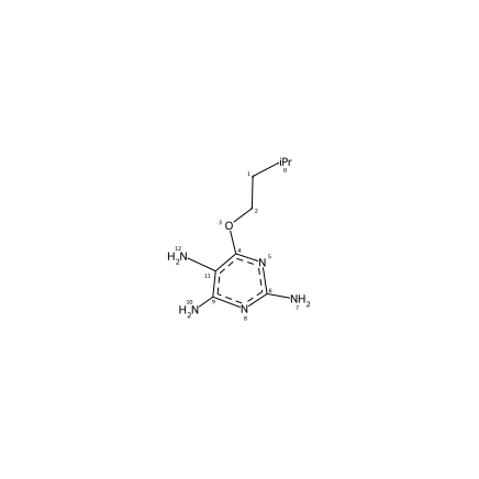 CC(C)CCOc1nc(N)nc(N)c1N